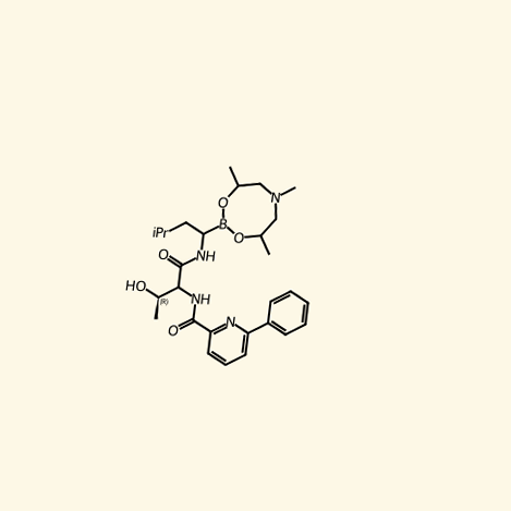 CC(C)CC(NC(=O)C(NC(=O)c1cccc(-c2ccccc2)n1)[C@@H](C)O)B1OC(C)CN(C)CC(C)O1